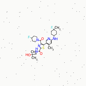 Cc1cc(NC2CCC(C)(F)CC2)ncc1-c1sc(C(=O)NCC(C)(C)O)nc1C(=O)N1CCC(F)CC1